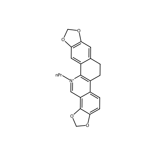 CCC[n+]1cc2c3c(ccc2c2c1-c1cc4c(cc1CC2)OCO4)OCO3